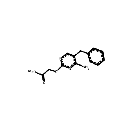 COC(=O)COc1ncc(Cc2ccccc2)c(N)n1